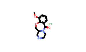 COc1cccc2c1OCC1CNCCN1C2=O.Cl